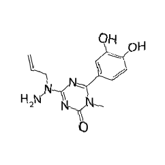 C=CCN(N)c1nc(-c2ccc(O)c(O)c2)n(C)c(=O)n1